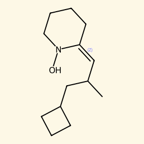 CC(/C=C1/CCCCN1O)CC1CCC1